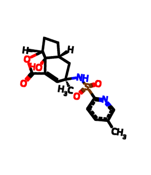 Cc1ccc(S(=O)(=O)N[C@@]2(C)C=C3C(=O)O[C@@H]4CC[C@H](C2)[C@]34O)nc1